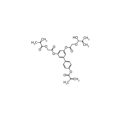 C=C(C)C(=O)OCC(=O)Oc1cc(OC(=O)COC(O)C(=C)C)cc(-c2ccc(OC(=O)C(=C)C)cc2)c1